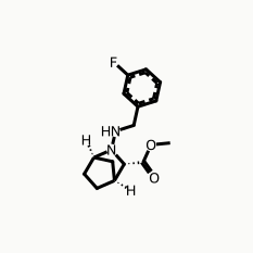 COC(=O)[C@@H]1[C@H]2CC[C@H](C2)N1NCc1cccc(F)c1